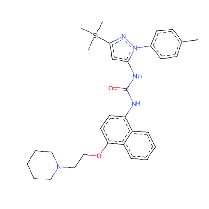 Cc1ccc(-n2nc([Si](C)(C)C)cc2NC(=O)Nc2ccc(OCCN3CCCCC3)c3ccccc23)cc1